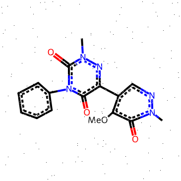 COc1c(-c2nn(C)c(=O)n(-c3ccccc3)c2=O)cnn(C)c1=O